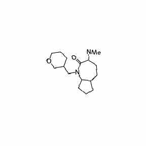 CNC1CCC2CCCC2N(CC2CCCOC2)C1=O